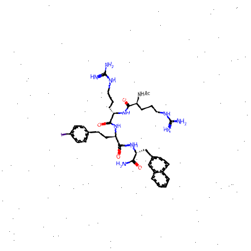 CC(=O)N[C@@H](CCCNC(=N)N)C(=O)N[C@@H](CCCNC(=N)N)C(=O)N[C@H](CCc1ccc(I)cc1)C(=O)N[C@H](Cc1ccc2ccccc2c1)C(N)=O